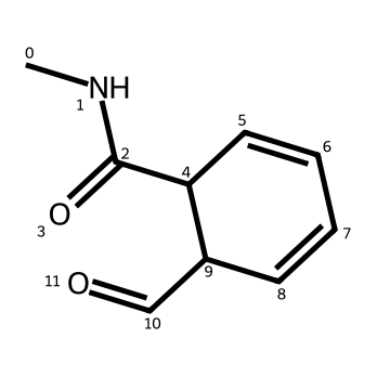 CNC(=O)C1C=CC=CC1C=O